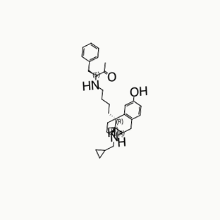 CC(=O)[C@H](Cc1ccccc1)NCCCC[C@]12CCN(CC3CC3)[C@H](Cc3ccc(O)cc31)[C@@H]2C